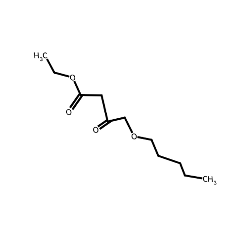 CCCCCOCC(=O)CC(=O)OCC